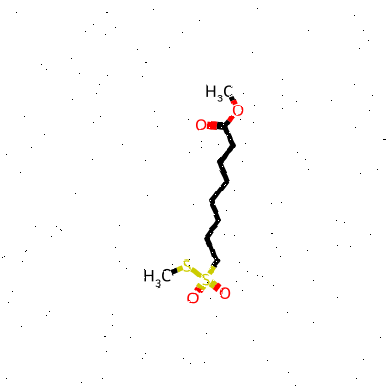 COC(=O)CCCCCCCS(=O)(=O)SC